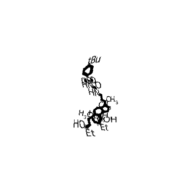 CC[C@H](O)CCC1(C)C[C@@H](CC)[C@@H](O)[C@@H]2[C@@H]1CCC1(C)C([C@H](C)CCNC(=O)NS(=O)(=O)c3ccc(C(C)(C)C)cc3)CC[C@@H]21